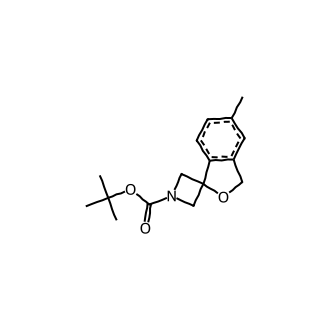 Cc1ccc2c(c1)COC21CN(C(=O)OC(C)(C)C)C1